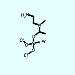 CCC[Si](OCC)(OCC)OC(C)N(C)CCN